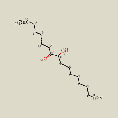 CCCCCCCCCCCCCCCCCC(O)C(=O)CCCCCCCCCCCCCCC